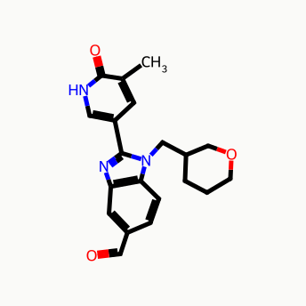 Cc1cc(-c2nc3cc(C=O)ccc3n2CC2CCCOC2)c[nH]c1=O